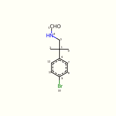 CC(C)(CNC=O)c1ccc(Br)cc1